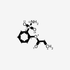 C=CC(=O)Oc1ccccc1S(N)(=O)=O